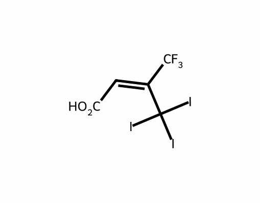 O=C(O)C=C(C(F)(F)F)C(I)(I)I